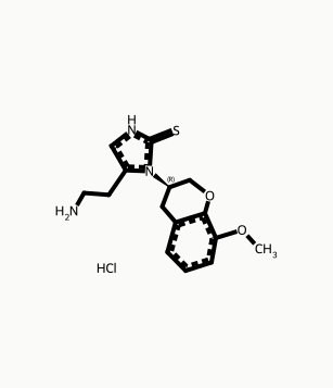 COc1cccc2c1OC[C@H](n1c(CCN)c[nH]c1=S)C2.Cl